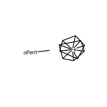 CCCCCC.[CH]12[CH]3[CH]4[CH]5[CH]1[Fe]23451678[CH]2[CH]1[CH]6[CH]7[CH]28